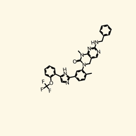 Cc1ccc(-c2ncc(-c3ccccc3OC(F)(F)F)[nH]2)cc1N1Cc2cnc(NCc3ccccc3)nc2N(C)C1=O